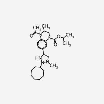 CC(=O)N1c2ccc(C3CN(C)N(C4CCCCCCC4)N3)cc2N(C(=O)OC(C)C)C[C@@H]1C